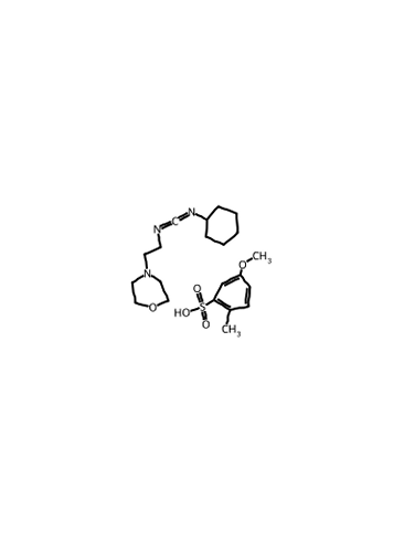 C(=NCCN1CCOCC1)=NC1CCCCC1.COc1ccc(C)c(S(=O)(=O)O)c1